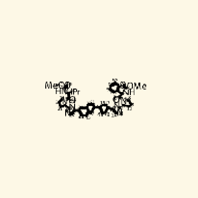 COC(=O)NC(C(=O)N1CCC[C@H]1c1ncc(-c2ccc(-c3ccc4cc(-c5cnc(C6CCCN6C(=O)C(NC(=O)OC)C(C)C)[nH]5)ccc4c3)cc2)[nH]1)c1ccccc1